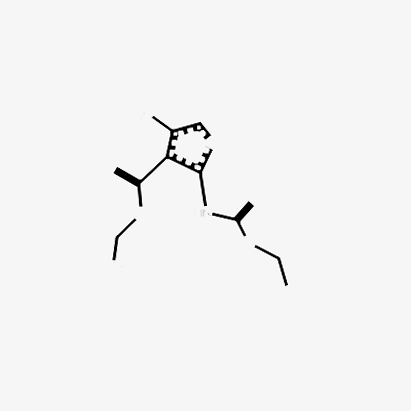 CCOC(=O)Nc1scc(C)c1C(=O)OCC